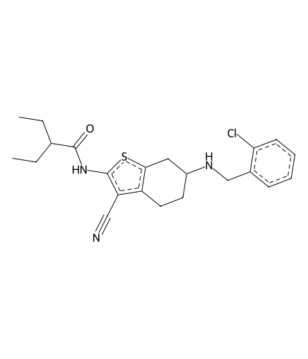 CCC(CC)C(=O)Nc1sc2c(c1C#N)CCC(NCc1ccccc1Cl)C2